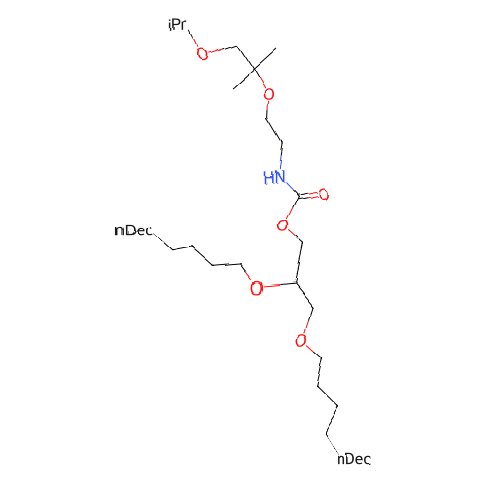 CCCCCCCCCCCCCCOCC(COC(=O)NCCOC(C)(C)COC(C)C)OCCCCCCCCCCCCCC